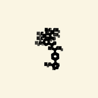 Cc1ncsc1-c1ccc(C(C)NC(=O)C2C[C@@H](C)CN2C(=O)C(NC(C)(C)C)C(C)(C)C)cc1